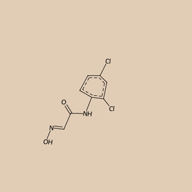 O=C(C=NO)Nc1ccc(Cl)cc1Cl